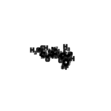 Cc1cc(Nc2ncnc3sc(C(=O)N4CC[C@@H](N(C)C)C4)cc23)c(=O)n2c1C(=O)NC21CCC(F)(F)CC1